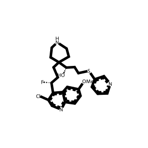 COc1ccc2ncc(Cl)c([C@H](F)CCC3([C@@H](O)CCSc4cccnc4)CCNCC3)c2c1